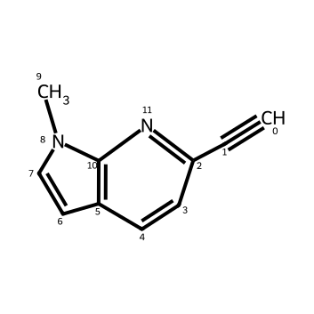 C#Cc1ccc2ccn(C)c2n1